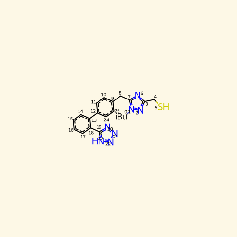 CCC(C)n1nc(CS)nc1Cc1ccc(-c2ccccc2-c2nnn[nH]2)cc1